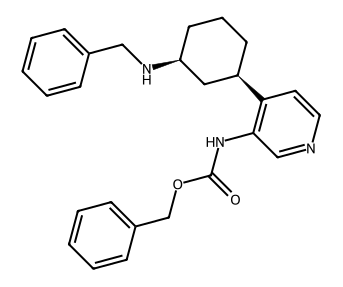 O=C(Nc1cnccc1[C@@H]1CCC[C@H](NCc2ccccc2)C1)OCc1ccccc1